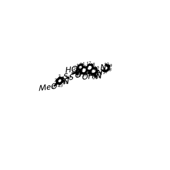 COc1ccc2sc(SCC(=O)[C@@]3(O)CCC4C5CCC6=Cc7c(cnn7-c7ccccn7)CC6(C)C5[C@@H](O)CC43C)nc2c1